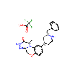 C[C@@H]1C(=O)NN=C2COc3ccc([C@@H]4CCN[C@H](Cc5ccccc5)C4)cc3N21.O=C(O)C(F)(F)F